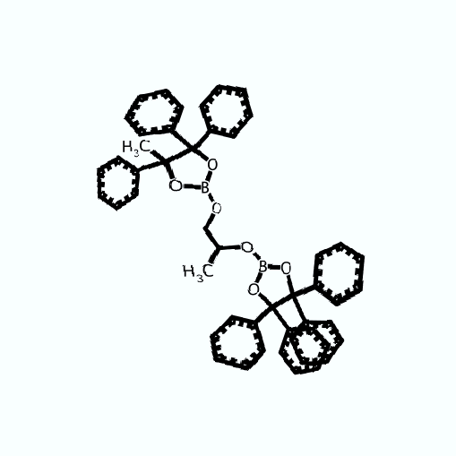 CC(COB1OC(C)(c2ccccc2)C(c2ccccc2)(c2ccccc2)O1)OB1OC(c2ccccc2)(c2ccccc2)C(c2ccccc2)(c2ccccc2)O1